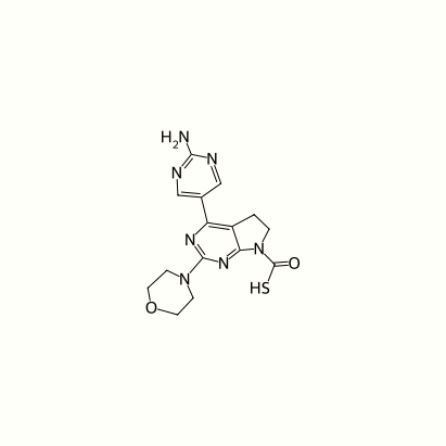 Nc1ncc(-c2nc(N3CCOCC3)nc3c2CCN3C(=O)S)cn1